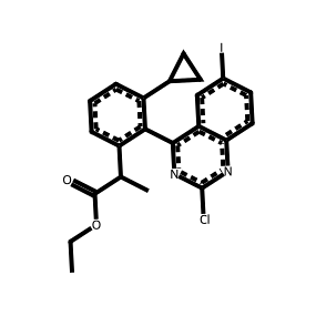 CCOC(=O)C(C)c1cccc(C2CC2)c1-c1nc(Cl)nc2ccc(I)cc12